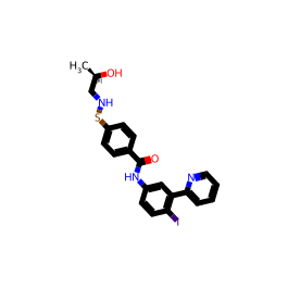 C[C@@H](O)CNSc1ccc(C(=O)Nc2ccc(I)c(-c3ccccn3)c2)cc1